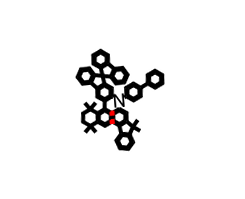 CC1(C)CCC(C)(C)c2c(-c3cc4c(cc3N(c3ccc(-c5ccccc5)cc3)c3ccc5c(c3)C(C)(C)c3ccccc3-5)C3(c5ccccc5-c5ccccc53)c3ccccc3-4)cccc21